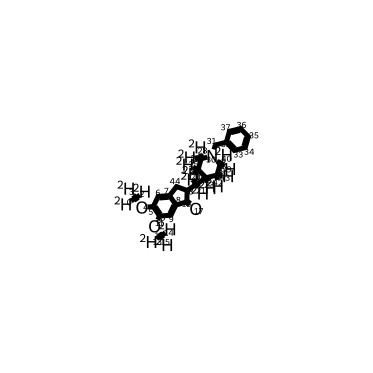 [2H]C([2H])([2H])Oc1cc2c(cc1OC([2H])([2H])[2H])C(=O)C(C([2H])([2H])C1([2H])C([2H])([2H])C([2H])([2H])N(Cc3ccccc3)C([2H])([2H])C1([2H])[2H])C2